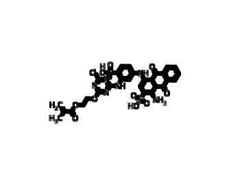 C=C(C)C(=O)OCCOc1nc(Cl)nc(Nc2cc(NC3=CC(S(=O)(=O)O)=C(N)C4C(=O)c5ccccc5C(=O)C34)ccc2S(=O)(=O)O)n1